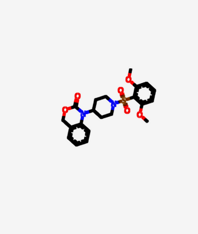 COc1cccc(OC)c1S(=O)(=O)N1CCC(N2C(=O)OCc3ccccc32)CC1